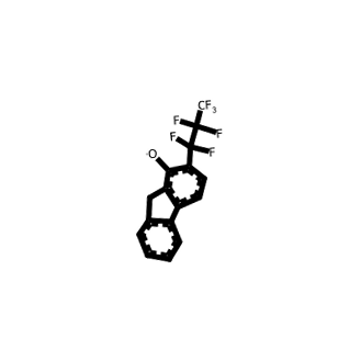 [O]c1c(C(F)(F)C(F)(F)C(F)(F)F)ccc2c1Cc1ccccc1-2